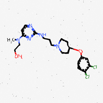 CN(CCO)c1ccnc(NCCCN2CCC(Oc3ccc(Cl)c(Cl)c3)CC2)n1